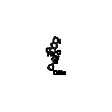 COc1cccc(-c2cc(NC(=O)c3cc4ncccc4cc3Cl)n(C)n2)c1